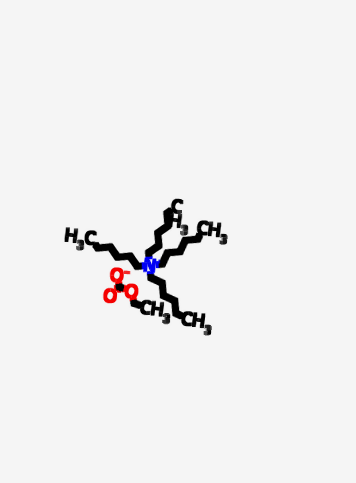 CCCCCC[N+](CCCCCC)(CCCCCC)CCCCCC.CCOC(=O)[O-]